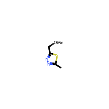 COCc1nnc(C)s1